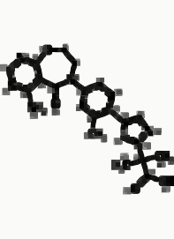 Cc1cc(N2CCOc3ncnc(N)c3C2=O)ccc1-c1cnn(C(C)(C)C(=O)O)c1